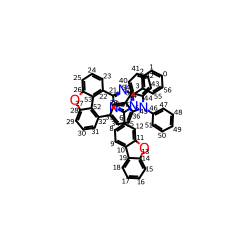 c1ccc(-c2nc(-c3ccc4c(c3)oc3ccccc34)nc(-c3cccc4oc5cccc(-c6ccc7c(c6)c6ccccc6n7-c6ccccc6)c5c34)n2)cc1